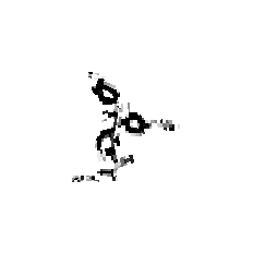 COC[C@H](C)Nc1nccc(N(C(=O)Nc2ccc(Cl)cc2)c2ccc(OC)cc2)n1